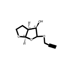 C#CCOC1O[C@H]2OCC[C@H]2[C@H]1O